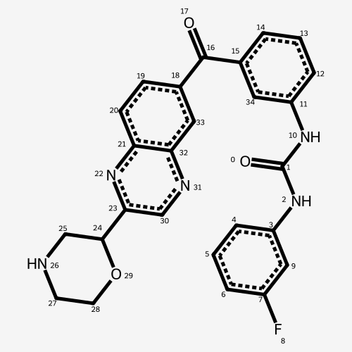 O=C(Nc1cccc(F)c1)Nc1cccc(C(=O)c2ccc3nc(C4CNCCO4)cnc3c2)c1